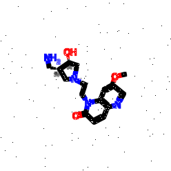 COc1cnc2ccc(=O)n(CCN3C[C@H](CN)[C@H](O)C3)c2c1